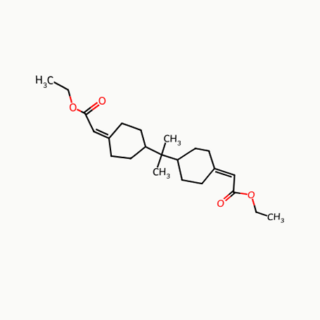 CCOC(=O)C=C1CCC(C(C)(C)C2CCC(=CC(=O)OCC)CC2)CC1